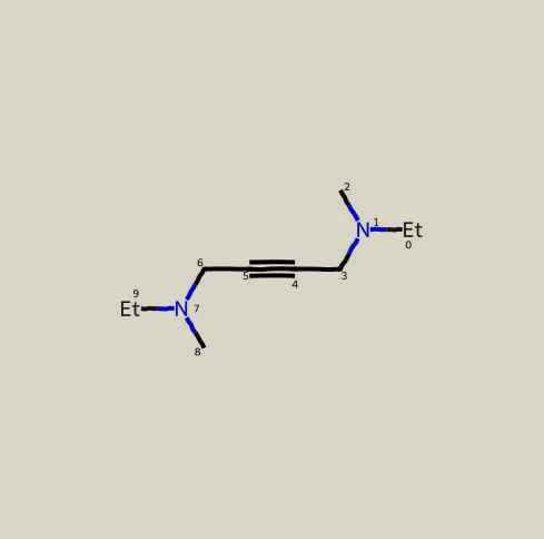 CCN(C)CC#CCN(C)CC